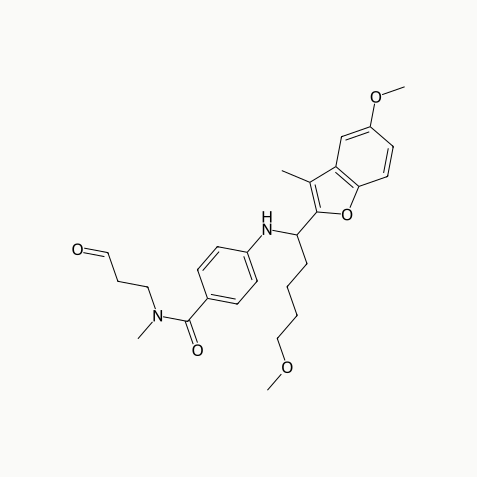 COCCCCC(Nc1ccc(C(=O)N(C)CCC=O)cc1)c1oc2ccc(OC)cc2c1C